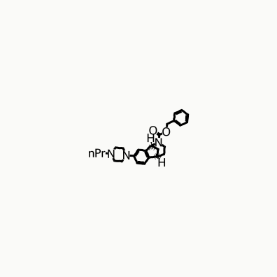 CCCN1CCN(c2ccc3c(c2)[C@@H]2C[C@H]3CCN2C(=O)OCc2ccccc2)CC1